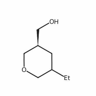 CCC1COC[C@@H](CO)C1